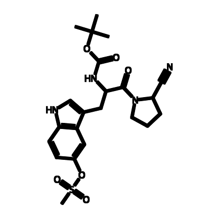 CC(C)(C)OC(=O)NC(Cc1c[nH]c2ccc(OS(C)(=O)=O)cc12)C(=O)N1CCCC1C#N